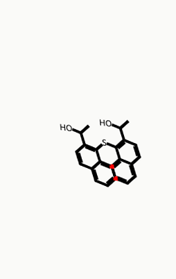 CC(O)c1ccc2ccccc2c1Sc1c(C(C)O)ccc2ccccc12